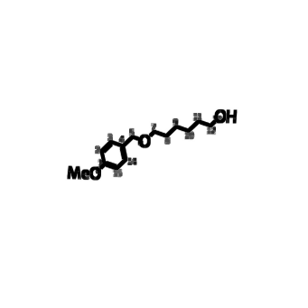 COc1ccc(COCCCCCCO)cc1